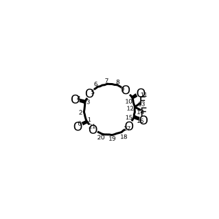 O=C1CC(=O)OCCCOC(=O)C(F)(F)C(=O)OCCCO1